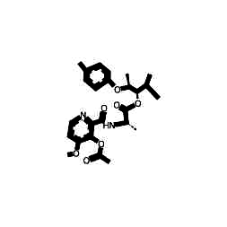 COc1ccnc(C(=O)N[C@@H](C)C(=O)O[C@@H](C(C)C)[C@H](C)Oc2ccc(C)cc2)c1OC(C)=O